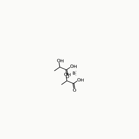 CC(O)C(=O)O.CC(O)C(=O)O.[B]